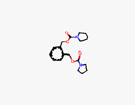 O=C(OCc1ccccc1COC(=O)N1CCCC1)N1CCCC1